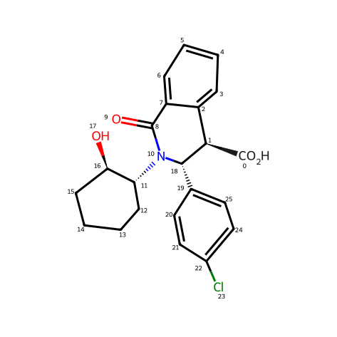 O=C(O)[C@@H]1c2ccccc2C(=O)N([C@@H]2CCCC[C@H]2O)[C@H]1c1ccc(Cl)cc1